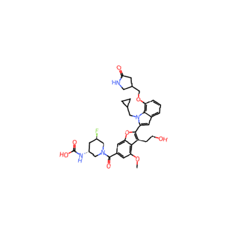 COc1cc(C(=O)N2C[C@H](F)C[C@@H](NC(=O)O)C2)cc2oc(-c3cc4cccc(OCC5CNC(=O)C5)c4n3CC3CC3)c(CCO)c12